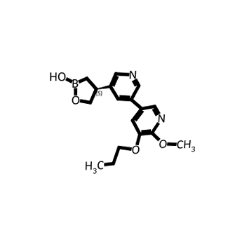 CCCOc1cc(-c2cncc([C@H]3COB(O)C3)c2)cnc1OC